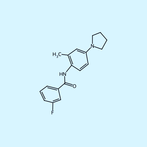 Cc1cc(N2CCCC2)ccc1NC(=O)c1cccc(F)c1